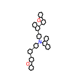 c1cc(-c2ccc(N(c3ccc(-c4cc(-c5cccc6c5oc5ccccc56)c5ccccc5c4)cc3)c3cc4ccccc4c4ccccc34)cc2)cc(-c2ccc3c(c2)oc2ccccc23)c1